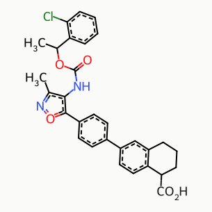 Cc1noc(-c2ccc(-c3ccc4c(c3)CCCC4C(=O)O)cc2)c1NC(=O)OC(C)c1ccccc1Cl